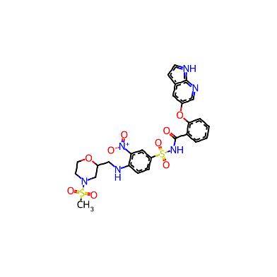 CS(=O)(=O)N1CCOC(CNc2ccc(S(=O)(=O)NC(=O)c3ccccc3Oc3cnc4[nH]ccc4c3)cc2[N+](=O)[O-])C1